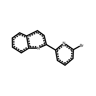 Brc1cccc(-c2ccc3ccccc3n2)n1